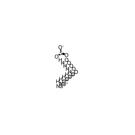 O.O.O.O.O.O.O.O.O.O=S([O-])[O-].[Na+].[Na+]